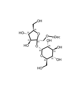 CCCCCCCCCCOC[C@@]1(O[C@H]2O[C@H](CO)[C@@H](O)[C@H](O)[C@H]2O)O[C@H](CO)[C@@H](O)[C@@H]1O